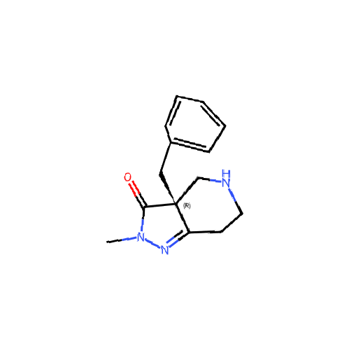 CN1N=C2CCNC[C@@]2(Cc2ccccc2)C1=O